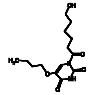 CCCCOc1cn(C(=O)CCCCCO)c(=O)[nH]c1=O